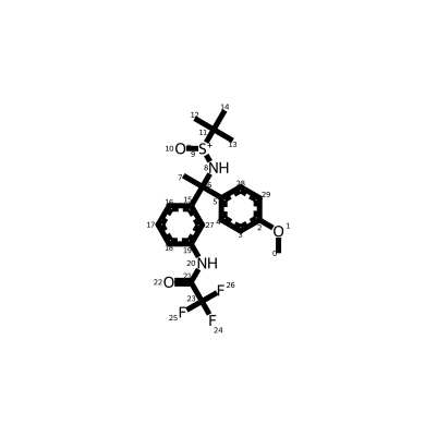 COc1ccc(C(C)(N[S+]([O-])C(C)(C)C)c2cccc(NC(=O)C(F)(F)F)c2)cc1